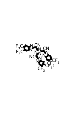 N#CC(=C1N=c2cc(C(F)(F)F)c(C(F)(F)F)cc2=N1)c1nc(C(C#N)=C2N=c3cc(C(F)(F)F)c(C(F)(F)F)cc3=N2)nc(C(C#N)=C2N=c3cc(C(F)(F)F)c(C(F)(F)F)cc3=N2)n1